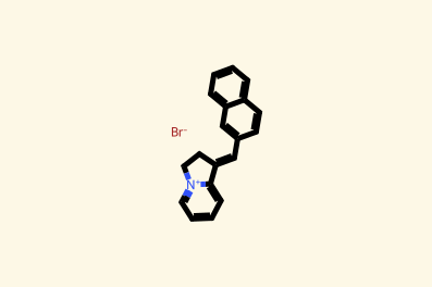 C(=C1CC[n+]2ccccc21)c1ccc2ccccc2c1.[Br-]